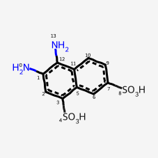 Nc1cc(S(=O)(=O)O)c2cc(S(=O)(=O)O)ccc2c1N